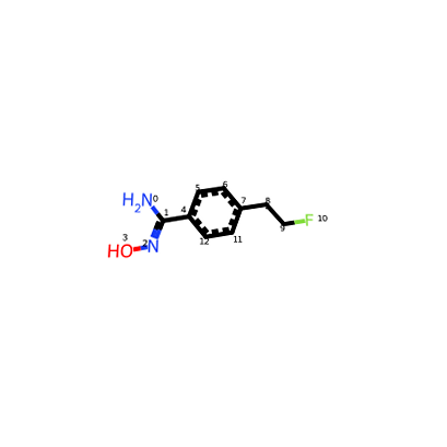 NC(=NO)c1ccc([CH]CF)cc1